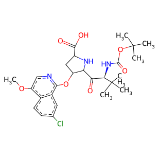 COc1cnc(OC2CC(C(=O)O)NC2C(=O)[C@@H](NC(=O)OC(C)(C)C)C(C)(C)C)c2cc(Cl)ccc12